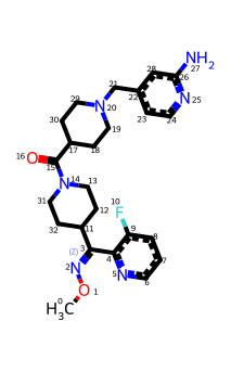 CO/N=C(\c1ncccc1F)C1CCN(C(=O)C2CCN(Cc3ccnc(N)c3)CC2)CC1